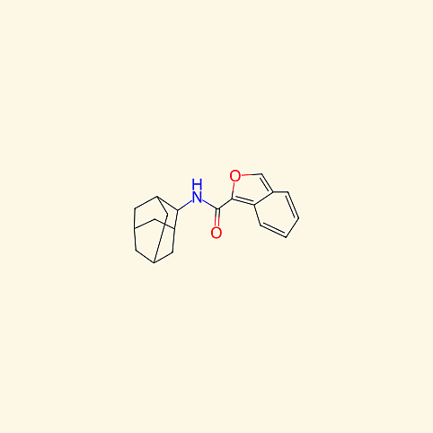 O=C(NC1C2CC3CC(C2)CC1C3)c1occ2ccccc12